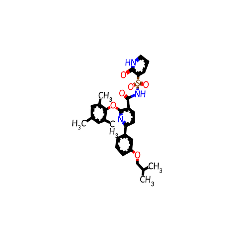 Cc1cc(C)c(Oc2nc(-c3cccc(OCC(C)C)c3)ccc2C(=O)NS(=O)(=O)c2ccc[nH]c2=O)c(C)c1